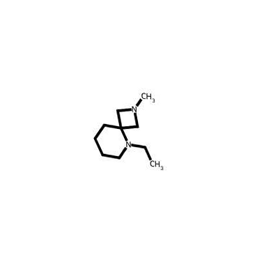 CCN1CCCCC12CN(C)C2